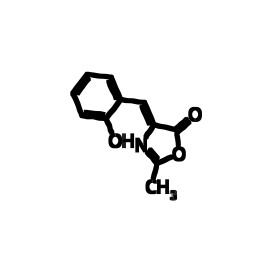 CC1=NC(=Cc2ccccc2O)C(=O)O1